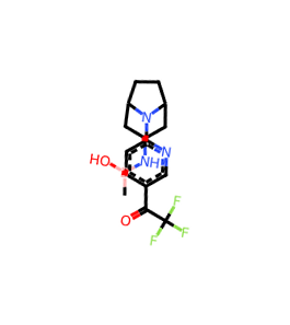 CB(O)NC1CC2CCC(C1)N2c1ccc(C(=O)C(F)(F)F)cn1